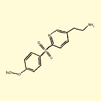 CC(=O)OOc1ccc(S(=O)(=O)c2ccc(CCN)cn2)cc1